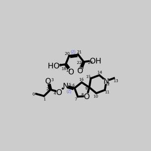 CCC(=O)O/N=C1\COC2(CCN(C)CC2)C1.O=C(O)/C=C\C(=O)O